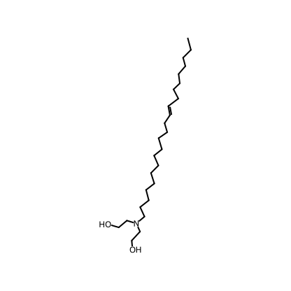 CCCCCCCCC=CCCCCCCCCCCCCN(CCO)CCO